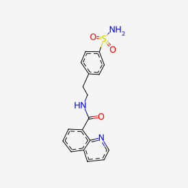 NS(=O)(=O)c1ccc(CCNC(=O)c2cccc3cccnc23)cc1